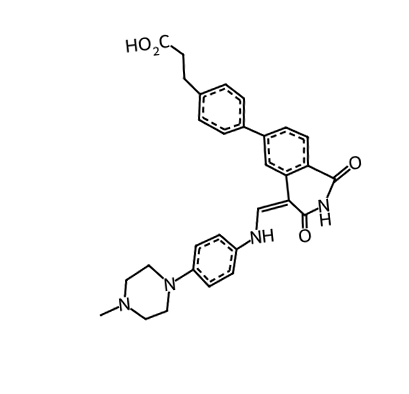 CN1CCN(c2ccc(NC=C3C(=O)NC(=O)c4ccc(-c5ccc(CCC(=O)O)cc5)cc43)cc2)CC1